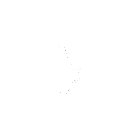 C=C(C)C(=O)OCC(C)OC(=O)NC1CCC(CC2CCC(C(C)(C)NC(=O)OC(C)COC(=O)C3CC=CCC3C(=O)OCC(C)OC(=O)NC3CCC(CC4CCC(C(C)(CC)NC(=O)OC(C)COC(=O)C(=C)C)CC4)CC3)CC2)CC1